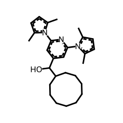 Cc1ccc(C)n1-c1cc(C(O)C2CCCCCCCCC2)cc(-n2c(C)ccc2C)n1